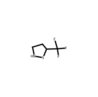 FC(F)(F)C1C[CH]NS1